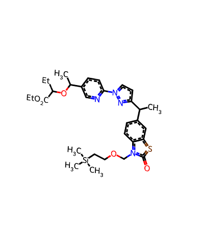 CCOC(=O)C(CC)OC(C)c1ccc(-n2ccc(C(C)c3ccc4c(c3)sc(=O)n4COCC[Si](C)(C)C)n2)nc1